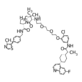 Cc1ncsc1-c1ccc(CNC(=O)[C@@H]2CCCN2C(=O)[C@@H](NCCOCCOCCOc2cc(NC(=O)[C@H](C)[C@H]3CC[C@@H](c4ccnc5ccc(F)cc54)CC3)ccc2Cl)C(C)(C)C)cc1